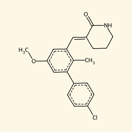 COc1cc(/C=C2\CCCNC2=O)c(C)c(-c2ccc(Cl)cc2)c1